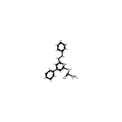 NC(=O)Oc1cc(-c2ccccc2)cc([CH]Cc2ccccc2)n1